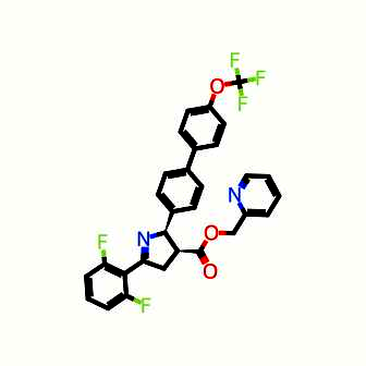 O=C(OCc1ccccn1)[C@H]1CC(c2c(F)cccc2F)=N[C@H]1c1ccc(-c2ccc(OC(F)(F)F)cc2)cc1